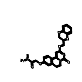 CC(C)N(C)C(=O)COc1ccc2c(c1)CCn1c-2cc(OCC2COc3ccccc3O2)nc1=O